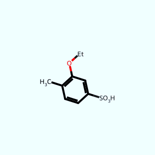 CCOc1cc(S(=O)(=O)O)ccc1C